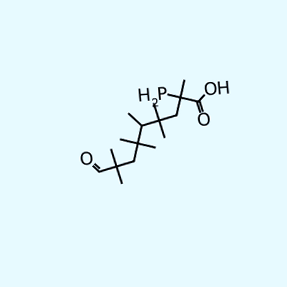 CC(C(C)(C)CC(C)(C)C=O)C(C)(C)CC(C)(P)C(=O)O